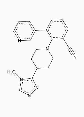 Cn1cnnc1C1CCN(c2c(C#N)cccc2-c2cccnc2)CC1